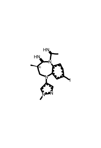 CC(=N)N1C(=N)[C@H](C)CN(c2cnn(C)c2)c2cc(I)ccc21